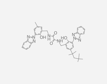 Cc1cc(CNC(=O)C(=O)NCc2cc(C(C)(C)CC(C)(C)C)cc(-n3nc4ccccc4n3)c2O)c(O)c(-n2nc3ccccc3n2)c1